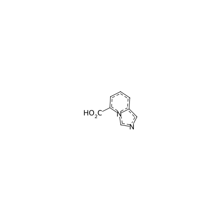 O=C(O)c1cccc2cncn12